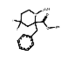 CC(C)(C)OC(=O)C1(Cc2ccccc2)CC(F)(F)CCN1C(=O)O